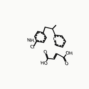 CC(Cc1ccc(Cl)cc1)c1ccccc1.N.O=C(O)C=CC(=O)O